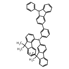 CC1(C)c2ccccc2-c2ccc(N(c3cccc(-c4ccc5c(c4)c4ccccc4n5-c4ccccc4)c3)c3cccc4c3-c3ccccc3C4(C)C)cc21